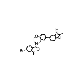 Cc1nc2ccc(-c3ccc4c(c3)CN(C(=O)c3ccc(Br)cc3F)CCO4)cc2[nH]1